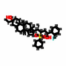 CC[C@]1(O)CC[C@@]2(C)C(=CC[C@H]3[C@@H]4CC[C@H]([C@H](C)C(C[C@H](O)c5ccccc5F)S(=O)(=O)c5ccccc5)[C@@]4(C)CC[C@@H]32)C1